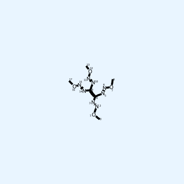 CON=NC(N=NOC)=C(N=NOC)N=NOC